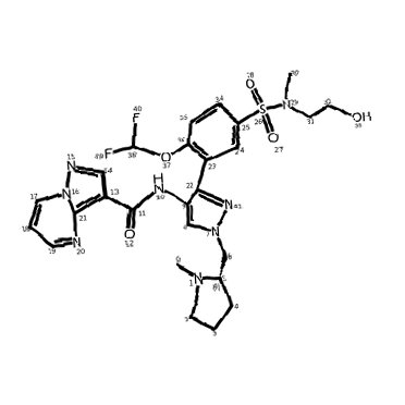 CN1CCC[C@@H]1Cn1cc(NC(=O)c2cnn3cccnc23)c(-c2cc(S(=O)(=O)N(C)CCO)ccc2OC(F)F)n1